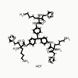 Cl.NCCCC[C@](N)(C(=O)Cn1cnnn1)C(=O)Nc1ccc(C(c2ccc(NC(=O)[C@](N)(CCCCN)C(=O)Cn3cnnn3)cc2)c2ccc(NC(=O)[C@](N)(CCCCN)C(=O)Cn3cnnn3)cc2)cc1